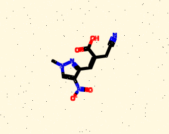 Cn1cc([N+](=O)[O-])c(C=C(CC#N)C(=O)O)n1